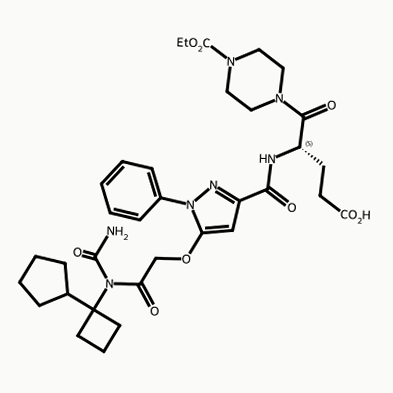 CCOC(=O)N1CCN(C(=O)[C@H](CCC(=O)O)NC(=O)c2cc(OCC(=O)N(C(N)=O)C3(C4CCCC4)CCC3)n(-c3ccccc3)n2)CC1